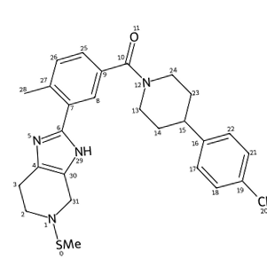 CSN1CCc2nc(-c3cc(C(=O)N4CCC(c5ccc(C#N)cc5)CC4)ccc3C)[nH]c2C1